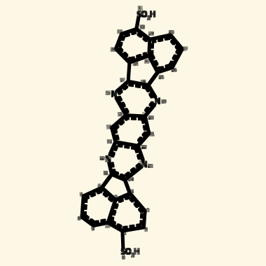 O=S(=O)(O)c1ccc2c3c(cccc13)-c1nc3cc4nc5c(nc4cc3nc1-2)-c1cccc2c(S(=O)(=O)O)ccc-5c12